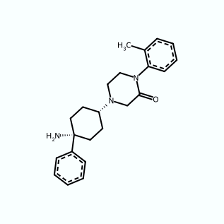 Cc1ccccc1N1CCN([C@H]2CC[C@](N)(c3ccccc3)CC2)CC1=O